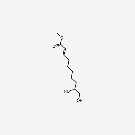 COC(=O)/C=C/CCCCCC(O)CO